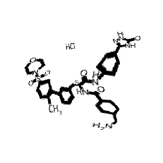 Cc1ccc(S(=O)(=O)N2CCOCC2)cc1-c1cccc(C[C@H](NC(=O)C2CCC(CN)CC2)C(=O)Nc2ccc(-c3n[nH]c(=O)[nH]3)cc2)c1.Cl